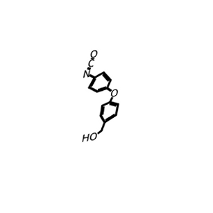 O=C=Nc1ccc(Oc2ccc(CO)cc2)cc1